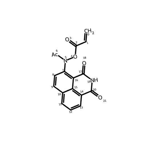 C=CC(=O)ON(C(C)=O)c1ccc2cccc3c2c1C(=O)NC3=O